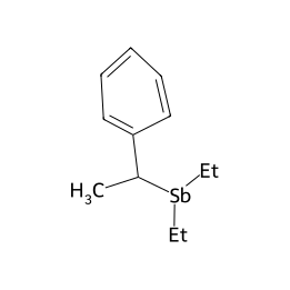 C[CH2][Sb]([CH2]C)[CH](C)c1ccccc1